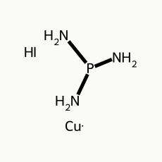 I.NP(N)N.[Cu]